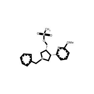 COc1cccc([C@@H]2CN(Cc3ccccc3)C[C@@H]2COS(C)(=O)=O)n1